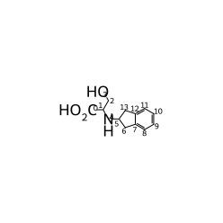 O=C(O)C(CO)NC1Cc2ccccc2C1